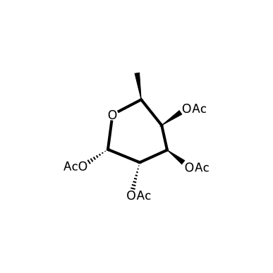 CC(=O)O[C@@H]1O[C@@H](C)[C@@H](OC(C)=O)[C@@H](OC(C)=O)[C@@H]1OC(C)=O